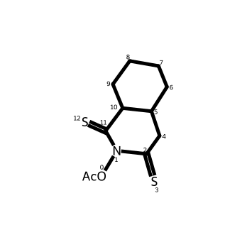 CC(=O)ON1C(=S)CC2CCCCC2C1=S